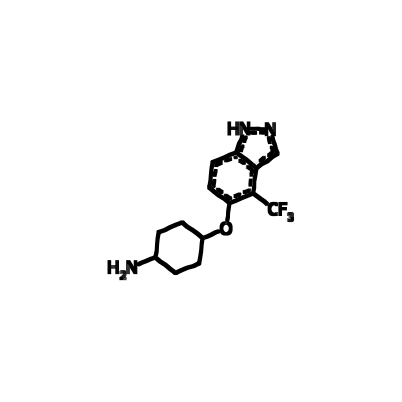 NC1CCC(Oc2ccc3[nH]ncc3c2C(F)(F)F)CC1